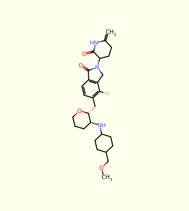 C=C1CCC(N2Cc3c(ccc(C[C@H]4OCCC[C@@H]4NC4CCC(COC)CC4)c3F)C2=O)C(=O)N1